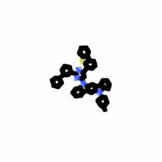 Cc1ccc(-n2c3ccccc3c3cc4c(cc32)c2ccccc2n4-c2cc(-c3cccc4c3sc3ccccc34)nc(-c3cccc(-c4ccccc4)c3)n2)cc1